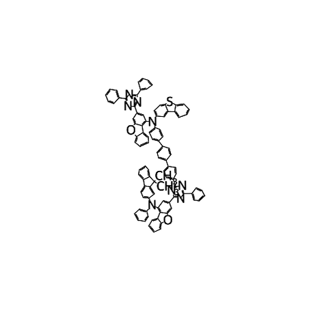 CC1(C)c2ccccc2-c2ccc(N(c3ccccc3)c3cc(-c4nc(-c5ccccc5)nc(-c5ccc(-c6ccc(-c7ccc(N(c8ccc9sc%10ccccc%10c9c8)c8cc(-c9nc(-c%10ccccc%10)nc(-c%10ccccc%10)n9)cc9oc%10ccccc%10c89)cc7)cc6)cc5)n4)cc4oc5ccccc5c34)cc21